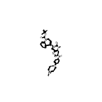 CN1CCN(c2ccc(Nc3cc4c(nn3)CN(C3CCN(C(=O)OC(C)(C)C)c5ccccc53)C(=O)N4C)cc2)CC1